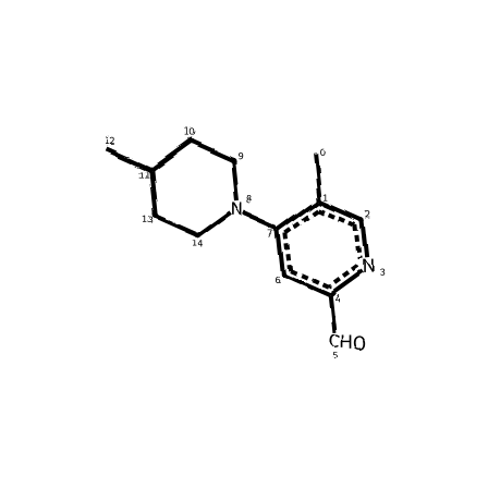 Cc1cnc(C=O)cc1N1CCC(C)CC1